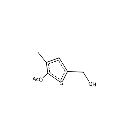 CC(=O)Oc1sc(CO)cc1C